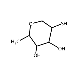 CC1OCC(S)C(O)C1O